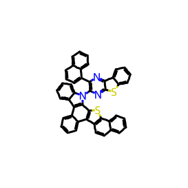 c1ccc2c(-c3nc4c(nc3-n3c5ccccc5c5c6ccccc6c6c7ccc8ccccc8c7sc6c53)sc3ccccc34)cccc2c1